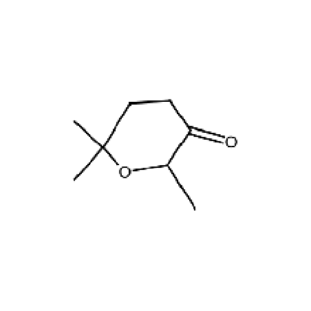 CC1OC(C)(C)CCC1=O